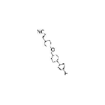 N#CC=CC1CCC(OCC2CCC(c3ccc(F)cc3)CC2)CC1